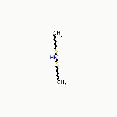 CCCCCCCCSCCNCCSCCCCCCCC